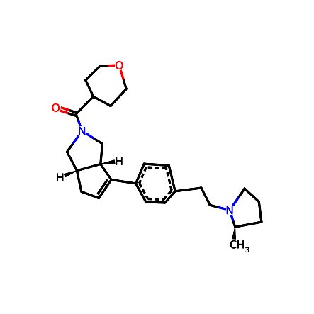 C[C@@H]1CCCN1CCc1ccc(C2=CC[C@@H]3CN(C(=O)C4CCOCC4)C[C@H]23)cc1